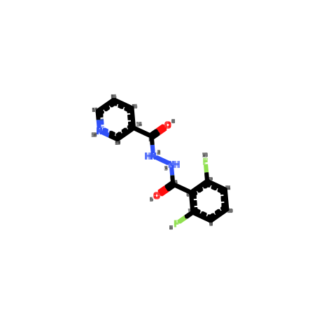 O=C(NNC(=O)c1c(F)cccc1F)c1cccnc1